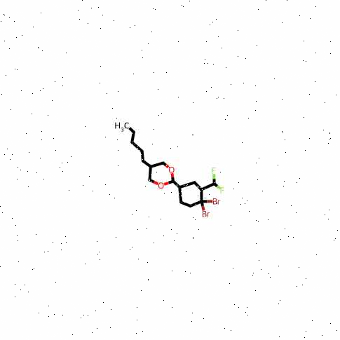 CCCCCC1COC(C2CCC(Br)(Br)C(C(F)F)C2)OC1